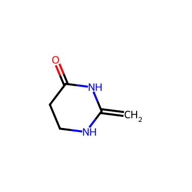 C=C1NCCC(=O)N1